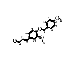 COc1ccc(COc2ccc(/C=C/C=O)cc2OC)cc1